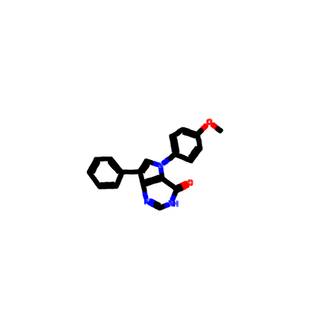 COc1ccc(-n2cc(-c3ccccc3)c3nc[nH]c(=O)c32)cc1